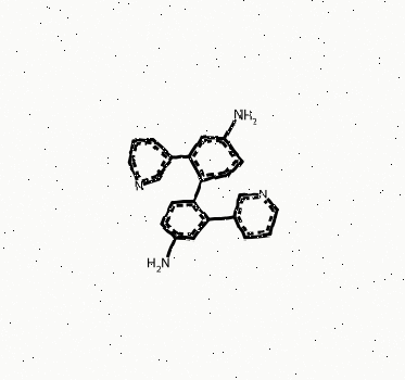 Nc1ccc(-c2ccc(N)cc2-c2cccnc2)c(-c2cccnc2)c1